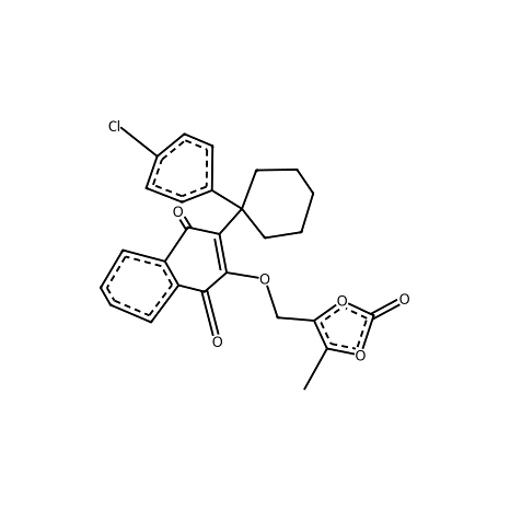 Cc1oc(=O)oc1COC1=C(C2(c3ccc(Cl)cc3)CCCCC2)C(=O)c2ccccc2C1=O